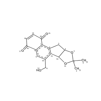 CC1(C)OC2Cc3c4c(cc(CO)c3C2O1)C(=O)C=CC4=O